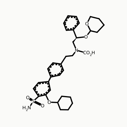 NS(=O)(=O)c1ccc(-c2ccc(CCN(C[C@H](OC3CCCCO3)c3ccccc3)C(=O)O)cc2)cc1OC1CCCCC1